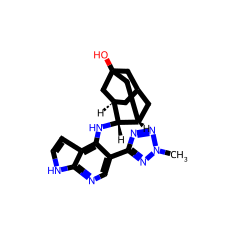 Cn1nnc(-c2cnc3[nH]ccc3c2N[C@@H]2[C@@H]3CC4C[C@H]2CC(O)(C4)C3)n1